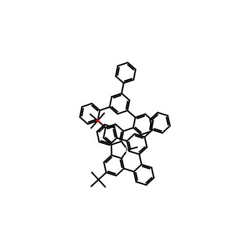 Cn1c2c(-c3ccccc3-c3cc(-c4ccccc4)cc(-c4ccccc4)c3)cc(C(C)(C)C)cc2c2cc(C(C)(C)C)cc(-c3ccccc3-c3cc(-c4ccccc4)cc(-c4ccccc4)c3)c21